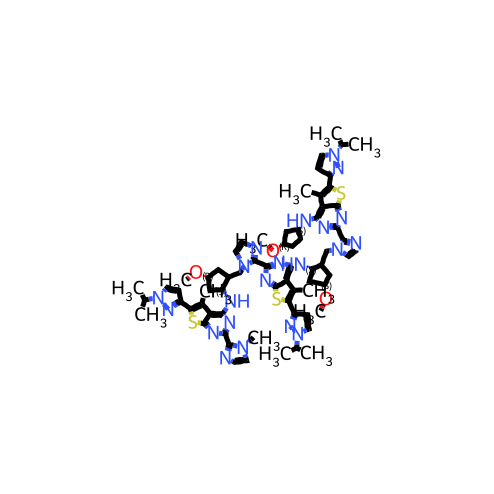 CO[C@@H]1CC[C@H](Nc2nc(-c3nccn3CC3C[C@H](OC)C[C@@H]3Nc3nc(-c4nccn4CC4C[C@@H](OC)C[C@@H]4Nc4nc(-c5nccn5C)nc5sc(-c6ccn(C(C)C)n6)c(C)c45)nc4sc(-c5ccn(C(C)C)n5)c(C)c34)nc3sc(-c4ccn(C(C)C)n4)c(C)c23)C1